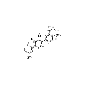 CCc1c(-c2ccc3c(c2)C(C)(C)CCC3(C)C)ccc(C(=O)OC(N)=S)c1F